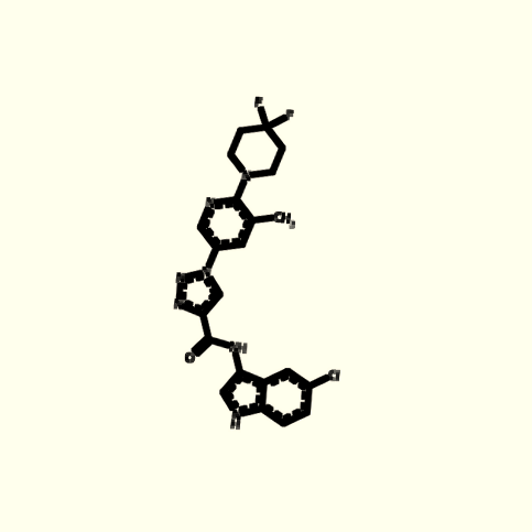 Cc1cc(-n2cc(C(=O)Nc3c[nH]c4ccc(Cl)cc34)nn2)cnc1N1CCC(F)(F)CC1